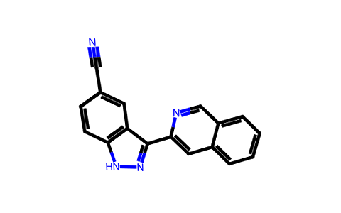 N#Cc1ccc2[nH]nc(-c3cc4ccccc4cn3)c2c1